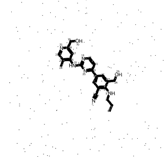 CCCNc1c(C#N)cc(-c2ccnc(Nc3cc(CO)ncc3C)n2)cc1CO